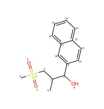 CC(CS(C)(=O)=O)C(O)c1ccc2ccccc2c1